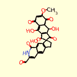 COC1=CC(=O)C2=C(O)C3=C(C(=O)C4(CCc5cc6cc(C=O)[nH]c(=O)c6c(O)c54)C3=O)C(O)C2C1=O